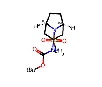 CC(C)(C)OC(=O)NC1C[C@H]2CC[C@@H](C1)N2S(C)(=O)=O